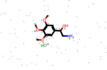 COc1cc(C(O)CN)cc(OC)c1OC.Cl